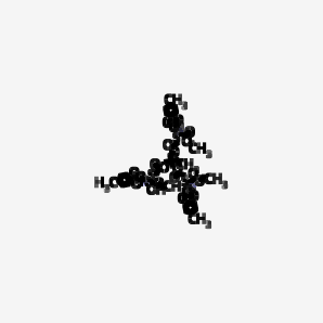 CCOC(=O)/C(=N/OS(=O)(=O)c1ccc(C)cc1)SCC(=O)OCC(CC)(COC(=O)CS/C(=N\OS(=O)(=O)c1ccc(C)cc1)C(=O)OCC)COC(=O)CS/C(=N\OS(=O)(=O)c1ccc(C)cc1)C(O)OCC